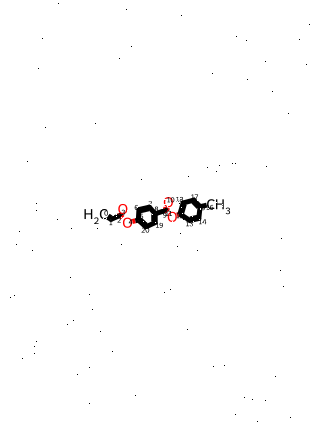 C=CC(=O)Oc1ccc(C(=O)Oc2ccc(C)cc2)cc1